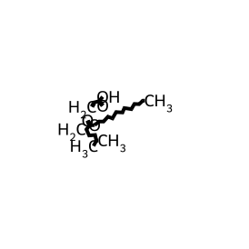 C=C(CCC(C)C)C(=O)OCCCCCCCCCCCC.C=CC(=O)O